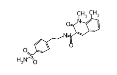 Cc1cccc2cc(C(=O)NCCc3ccc(S(N)(=O)=O)cc3)c(=O)n(C)c12